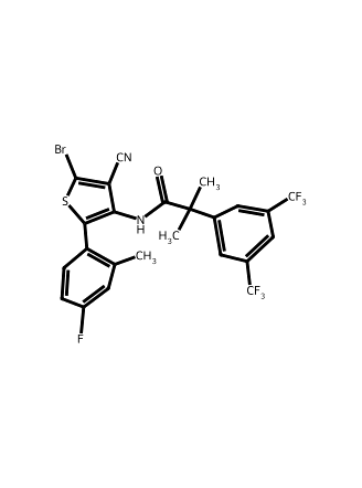 Cc1cc(F)ccc1-c1sc(Br)c(C#N)c1NC(=O)C(C)(C)c1cc(C(F)(F)F)cc(C(F)(F)F)c1